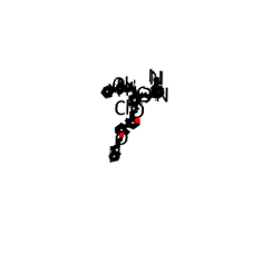 Cc1c(COc2cc(OCc3cncc(C#N)c3)c(CN(C)Cc3cc(-c4ccccc4)on3)cc2Cl)cccc1-c1cccc(OCCCN2CCCC2)c1C